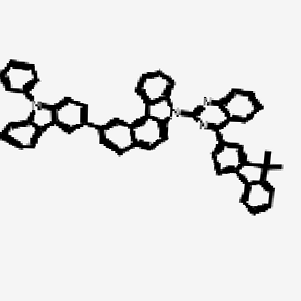 CC1(C)c2ccccc2-c2ccc(-c3nc(-n4c5ccccc5c5c6cc(-c7ccc8c(c7)c7ccccc7n8-c7ccccc7)ccc6ccc54)nc4ccccc34)cc21